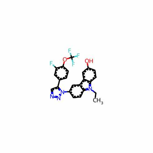 CCn1c2ccc(O)cc2c2cc(-n3nncc3-c3ccc(OC(F)(F)F)c(F)c3)ccc21